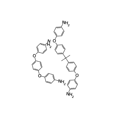 CC(C)(c1ccc(Oc2ccc(N)cc2)cc1)c1ccc(Oc2ccc(N)cc2)cc1.Nc1ccc(Oc2ccc(Oc3ccc(N)cc3)cc2)cc1